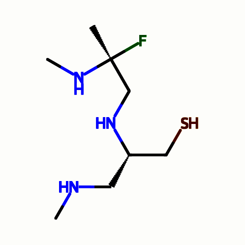 CNC[C@@H](CS)NC[C@](C)(F)NC